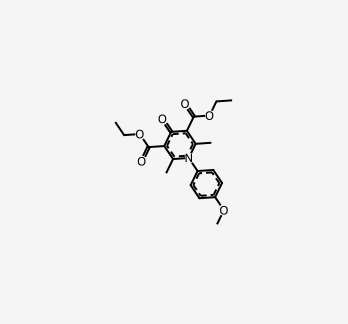 CCOC(=O)c1c(C)n(-c2ccc(OC)cc2)c(C)c(C(=O)OCC)c1=O